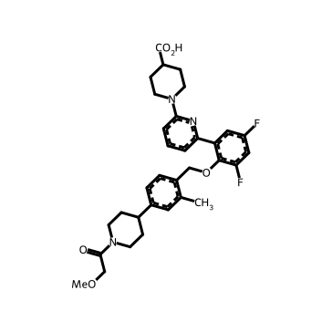 COCC(=O)N1CCC(c2ccc(COc3c(F)cc(F)cc3-c3cccc(N4CCC(C(=O)O)CC4)n3)c(C)c2)CC1